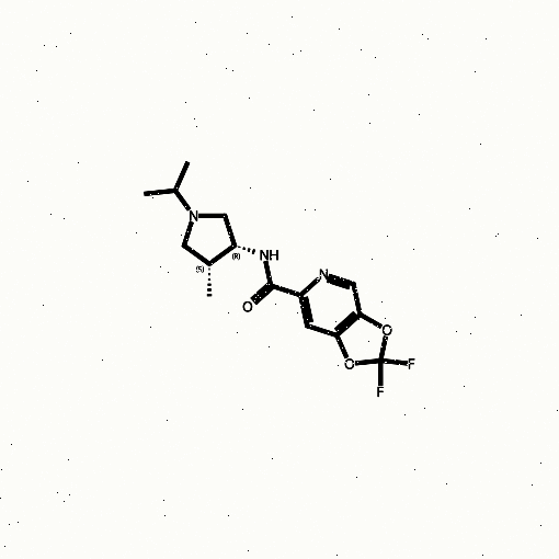 CC(C)N1C[C@@H](C)[C@@H](NC(=O)c2cc3c(cn2)OC(F)(F)O3)C1